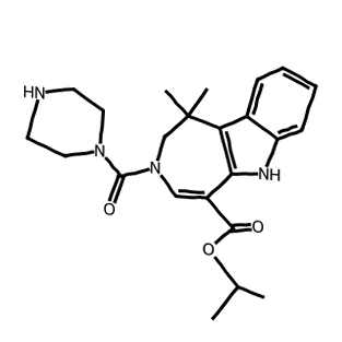 CC(C)OC(=O)C1=CN(C(=O)N2CCNCC2)CC(C)(C)c2c1[nH]c1ccccc21